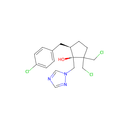 O[C@@]1(Cn2cncn2)[C@@H](Cc2ccc(Cl)cc2)CCC1(CCl)CCl